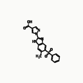 Cc1cc2[nH]c(-n3cc(C(=O)O)cn3)nc2cc1S(=O)(=O)c1ccccc1